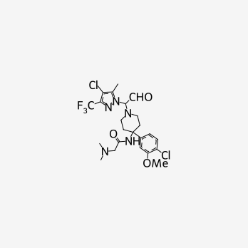 COc1cc(C2(NC(=O)CN(C)C)CCN(C(C=O)n3nc(C(F)(F)F)c(Cl)c3C)CC2)ccc1Cl